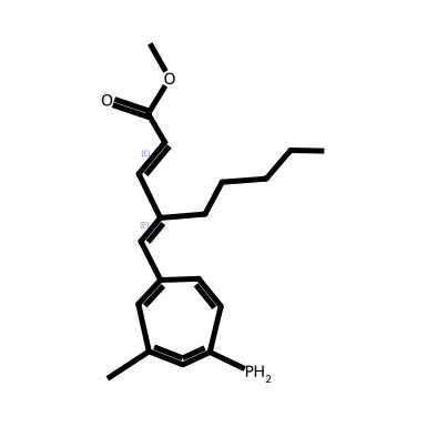 CCCCCC(/C=C/C(=O)OC)=C\C1=CC(C)=C=C(P)C=C1